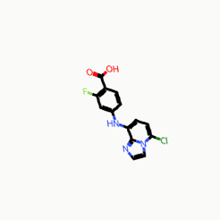 O=C(O)c1ccc(Nc2ccc(Cl)n3ccnc23)cc1F